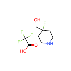 O=C(O)C(F)(F)F.OCC1(F)CCNCC1